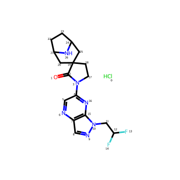 Cl.O=C1N(c2cnc3cnn(CC(F)F)c3n2)CCC12CC1CCC(C2)N1